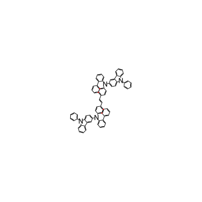 C(=C\c1ccc(N(c2ccc3c(c2)c2ccccc2n3-c2ccccc2)c2ccccc2-c2ccccc2)cc1)/c1ccc(N(c2ccc3c(c2)c2ccccc2n3-c2ccccc2)c2ccccc2-c2ccccc2)cc1